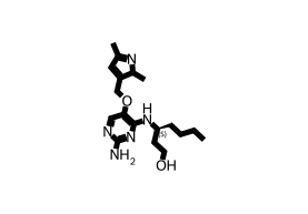 CCCC[C@@H](CCO)Nc1nc(N)ncc1OCC1=CC(C)=NC1C